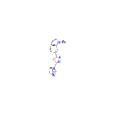 CC(C)n1ccc2ccc(-c3nnc(N4CCN5CCC4CC5)o3)cc21